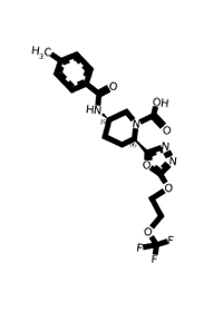 Cc1ccc(C(=O)N[C@H]2CC[C@H](c3nnc(OCCOC(F)(F)F)o3)N(C(=O)O)C2)cc1